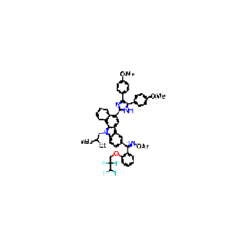 CCCCC(CC)Cn1c2ccc(/C(=N/OC(C)=O)c3ccccc3OCC(F)(F)C(F)F)cc2c2cc(-c3nc(-c4ccc(OC)cc4)c(-c4ccc(OC)cc4)[nH]3)c3ccccc3c21